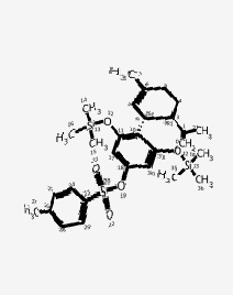 C=C(C)[C@@H]1CCC(C)=C[C@H]1c1c(O[Si](C)(C)C)cc(OS(=O)(=O)c2ccc(C)cc2)cc1O[Si](C)(C)C